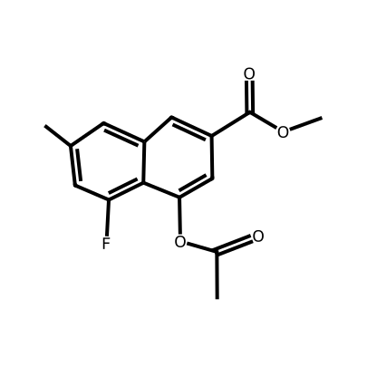 COC(=O)c1cc(OC(C)=O)c2c(F)cc(C)cc2c1